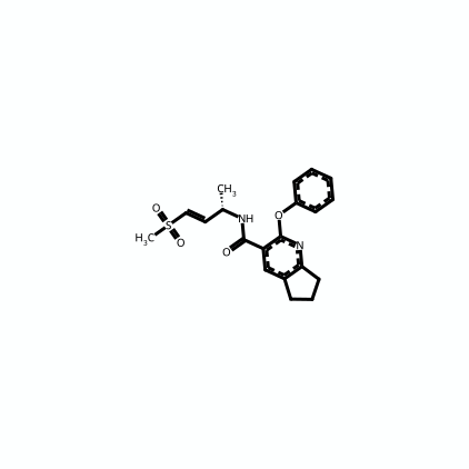 C[C@@H](/C=C/S(C)(=O)=O)NC(=O)c1cc2c(nc1Oc1ccccc1)CCC2